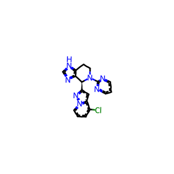 Clc1cccn2nc([C@H]3c4nc[nH]c4CCN3c3ncccn3)cc12